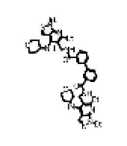 CCc1nc2c(cnn2CC)c(NC2CCOCC2)c1CNC(=O)c1cccc(-c2cccc(C(=O)NCc3c(CC)nc4c(cnn4CC)c3NC3CCOCC3)c2)c1